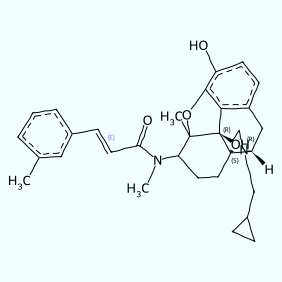 Cc1cccc(/C=C/C(=O)N(C)C2CC[C@@]3(O)[C@H]4Cc5ccc(O)c6c5[C@@]3(CCN4CC3CC3)C2(C)O6)c1